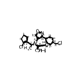 CC(C1=C(Cl)CCC1)N(C(=O)O)c1conc1-c1ccc(CCl)cc1